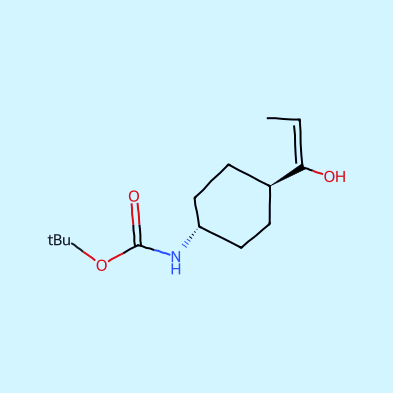 C/C=C(/O)[C@H]1CC[C@H](NC(=O)OC(C)(C)C)CC1